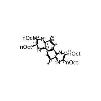 CCCCCCCCc1nc2c(C)cc3c(cc(C)c4nc(CCCCCCCC)c(CCCCCCCC)nc43)c2nc1CCCCCCCC